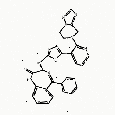 O=C1Nc2ccccc2C(c2ccccc2)=N[C@@H]1Nc1nnc(-c2cccnc2N2CCn3ncnc3C2)o1